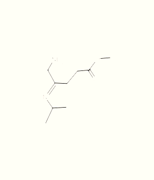 COC(=O)CC/C(CN)=N\C(C)C